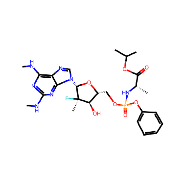 CNc1nc(NC)c2ncn([C@@H]3O[C@H](CO[P@](=O)(N[C@@H](C)C(=O)OC(C)C)Oc4ccccc4)[C@@H](O)[C@@]3(C)F)c2n1